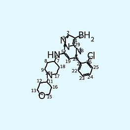 Bc1cnn2c(NC3CCN(C4CCOCC4)CC3)cc(-c3ccccc3Cl)nc12